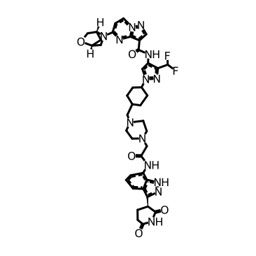 O=C1CC[C@@H](c2n[nH]c3c(NC(=O)CN4CCN(CC5CCC(n6cc(NC(=O)c7cnn8ccc(N9C[C@H]%10C[C@@H]9CO%10)nc78)c(C(F)F)n6)CC5)CC4)cccc23)C(=O)N1